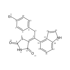 CCc1ccc(CC(=C2SC(=O)NC2=O)c2cccc3[nH]ccc23)cc1